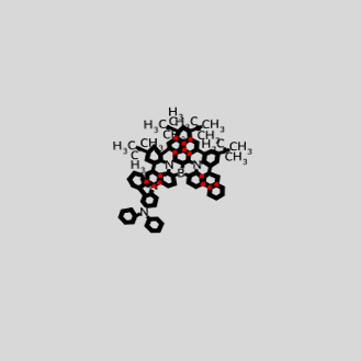 CC(C)(C)c1cc(-c2cc3c4c(c2)N(c2c(-c5ccccc5)cc(C(C)(C)C)cc2-c2ccccc2)c2cc(-n5c6ccccc6c6cc(N(c7ccccc7)c7ccccc7)ccc65)ccc2B4c2ccc(-c4ccccc4)cc2N3c2c(-c3ccccc3)cc(C(C)(C)C)cc2-c2ccccc2)cc(C(C)(C)C)c1